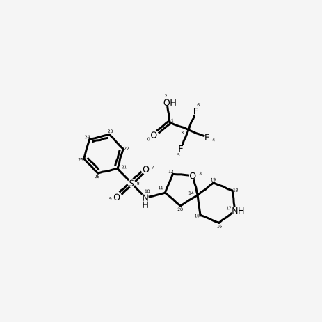 O=C(O)C(F)(F)F.O=S(=O)(NC1COC2(CCNCC2)C1)c1ccccc1